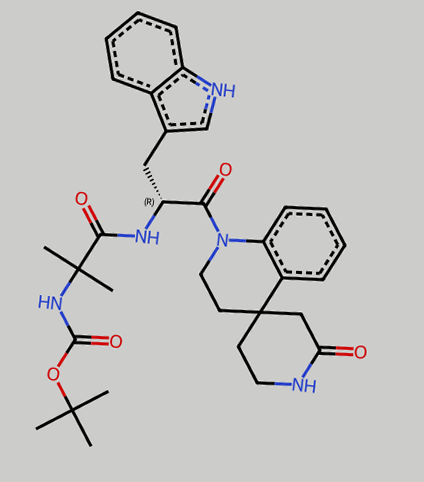 CC(C)(C)OC(=O)NC(C)(C)C(=O)N[C@H](Cc1c[nH]c2ccccc12)C(=O)N1CCC2(CCNC(=O)C2)c2ccccc21